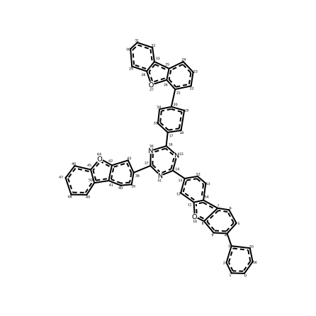 c1ccc(-c2ccc3c(c2)oc2cc(-c4nc(-c5ccc(-c6cccc7c6oc6ccccc67)cc5)nc(-c5ccc6c(c5)oc5ccccc56)n4)ccc23)cc1